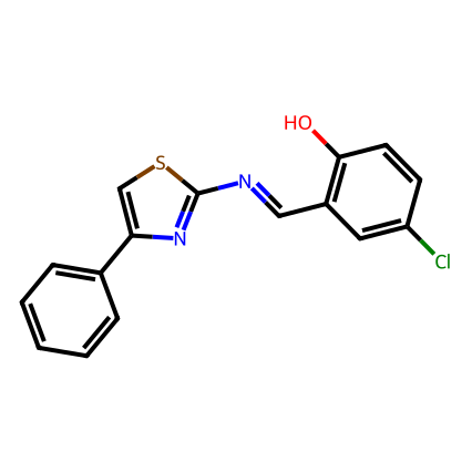 Oc1ccc(Cl)cc1C=Nc1nc(-c2ccccc2)cs1